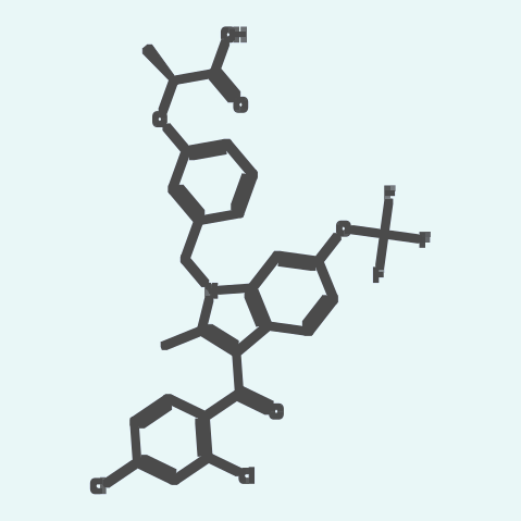 Cc1c(C(=O)c2ccc(Cl)cc2Cl)c2ccc(OC(F)(F)F)cc2n1Cc1cccc(O[C@@H](C)C(=O)O)c1